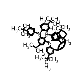 CC(C)c1cc2c3c(c1)N1c4cc5c(cc4B3c3cc(C(C)(C)C)ccc3N2c2ccc(C(C)(C)C)cc2)C(C)(C)CCC5(C)c2ccc(cc2-c2ccccc2)-c2cc(C(C)(C)C)ccc21